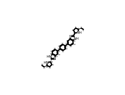 CC[C@@H]1CCC(c2nc3cc(-c4ccc(-c5ccc6[nH]c([C@@H]7CC[C@@H](CC)N7)nc6c5)cc4)ccc3[nH]2)N1